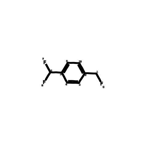 FCc1ccc(C(F)F)cc1